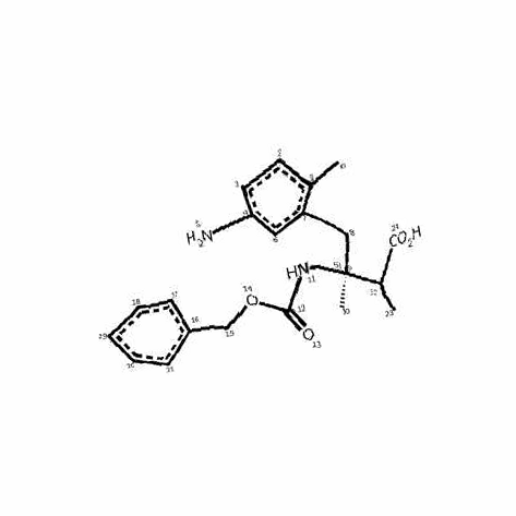 Cc1ccc(N)cc1C[C@](C)(NC(=O)OCc1ccccc1)C(C)C(=O)O